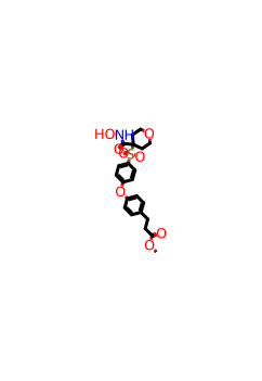 COC(=O)CCc1ccc(Oc2ccc(S(=O)(=O)C3(C(=O)NO)CCOCC3)cc2)cc1